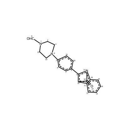 O=CN1CCN(c2ccc(-c3c4c5ccccc5n3C4=O)cc2)CC1